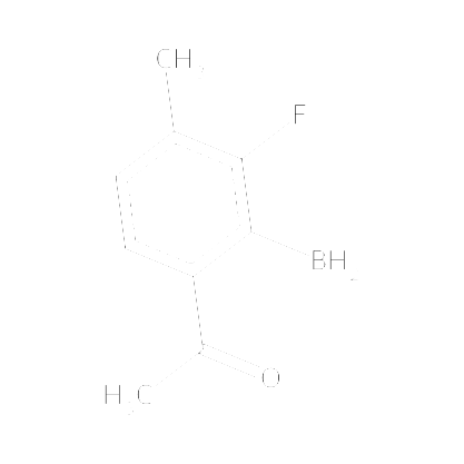 Bc1c(C(C)=O)ccc(C)c1F